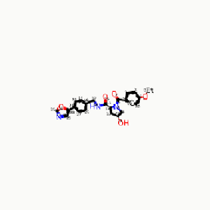 CCOc1ccc(C(=O)N2C[C@H](O)C[C@H]2C(=O)NCc2ccc(-c3cnco3)cc2)cc1